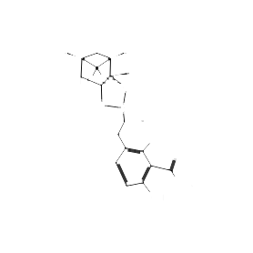 CC(=O)c1c(C)ccc(C[C@@H](Cl)B2OC3C[C@@H]4C[C@@H](C4(C)C)[C@]3(C)O2)c1C